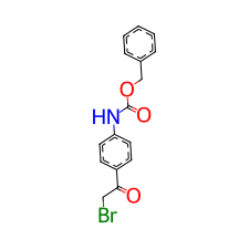 O=C(Nc1ccc(C(=O)CBr)cc1)OCc1ccccc1